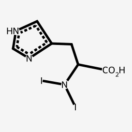 O=C(O)C(Cc1c[nH]cn1)N(I)I